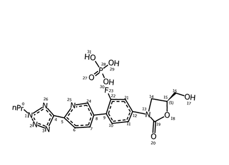 CCCn1nnc(-c2ccc(-c3ccc(N4C[C@@H](CO)OC4=O)cc3F)cn2)n1.O=P(O)(O)O